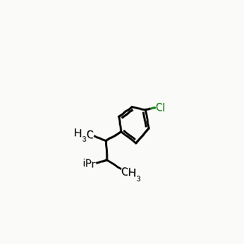 CC(C)C(C)C(C)c1ccc(Cl)cc1